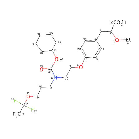 CCOC(Cc1ccc(OCCN(CCCOC(F)(F)C(F)(F)F)C(=O)OC2CCCCC2)cc1)C(=O)O